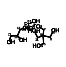 CCO.CO.OCC(CO)(CO)CO.OCC(O)CO